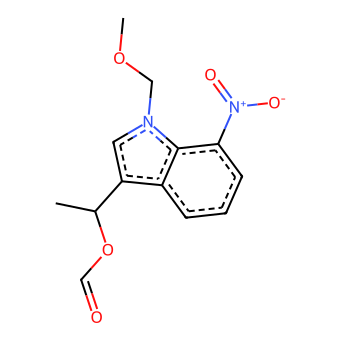 COCn1cc(C(C)OC=O)c2cccc([N+](=O)[O-])c21